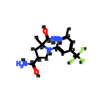 Cc1cc(C(F)(F)F)cc(N2CC(C(N)=O)CC2(C)C(N)=O)n1